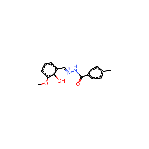 COc1cccc(/C=N/NC(=O)c2ccc(C)cc2)c1O